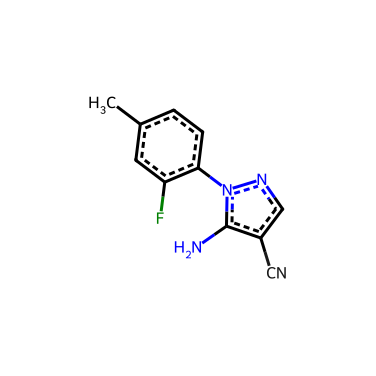 Cc1ccc(-n2ncc(C#N)c2N)c(F)c1